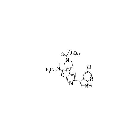 CC(C)COC(=O)N1CCN(c2ccnc(-c3c[nH]c4ncc(Cl)cc34)n2)[C@H](C(=O)NCC(F)(F)F)C1